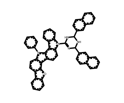 c1ccc(-n2c3ccc4c5ccccc5oc4c3c3ccc4c(c5ccccc5n4C4=NC(c5ccc6ccccc6c5)NC(c5ccc6ccccc6c5)N4)c32)cc1